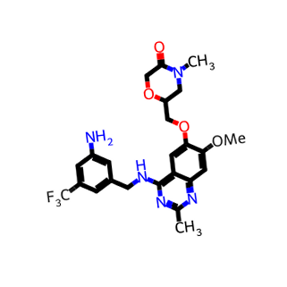 COc1cc2nc(C)nc(NCc3cc(N)cc(C(F)(F)F)c3)c2cc1OCC1CN(C)C(=O)CO1